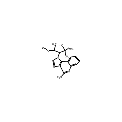 CCOC(C)C(n1cnc2c(N)nc3ccccc3c21)C(C)(C)O.Cl